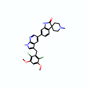 COc1cc(OC)c(F)c(Cc2c[nH]c3ncc(-c4ccc5c(c4)NC(=O)C54CCN(C)CC4)cc23)c1F